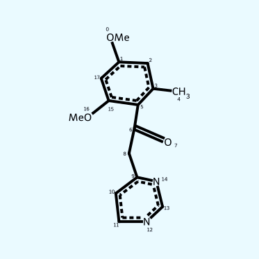 COc1cc(C)c(C(=O)Cc2ccncn2)c(OC)c1